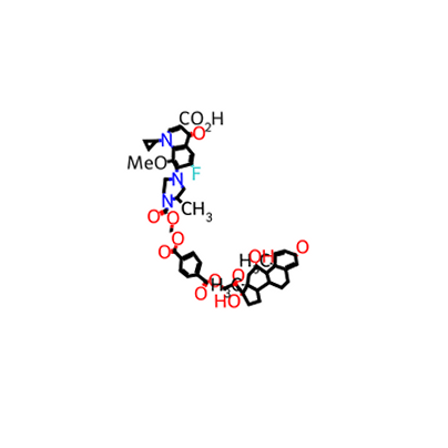 COc1c(N2CCN(C(=O)OCOC(=O)c3ccc(C(=O)OCC(=O)[C@@]4(O)CCC5C6CCC7=CC(=O)C=C[C@]7(C)C6[C@@H](O)C[C@@]54C)cc3)C(C)C2)c(F)cc2c(=O)c(C(=O)O)cn(C3CC3)c12